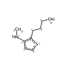 CNc1ccsc1CCCO